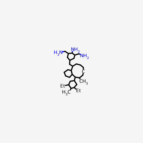 CCC1CC(C2C(C)CCCCCC(CC3CC(CN)C(N)C(CN)C3)C3CCCCC32)CC(CC)C1C